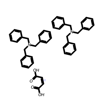 O=C(O)/C=C\C(=O)O.c1ccc(CN(Cc2ccccc2)Cc2ccccc2)cc1.c1ccc(CN(Cc2ccccc2)Cc2ccccc2)cc1